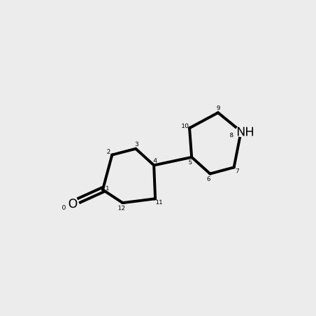 O=C1CCC(C2CCNCC2)CC1